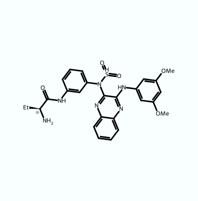 CC[C@H](N)C(=O)Nc1cccc(N(c2nc3ccccc3nc2Nc2cc(OC)cc(OC)c2)[SH](=O)=O)c1